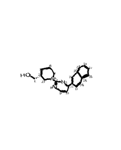 OC[C@@H]1CCCN(c2nccc(-c3ccc4ccccc4c3)n2)C1